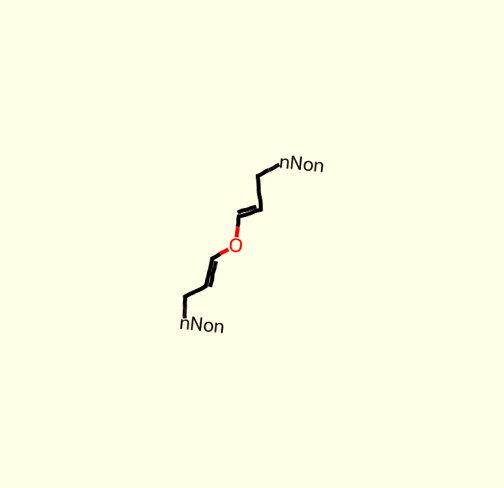 CCCCCCCCCC/C=C/O/C=C/CCCCCCCCCC